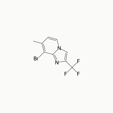 Cc1ccn2cc(C(F)(F)F)nc2c1Br